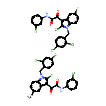 Cc1ccc2c(c1)c(C(=O)C(=O)Nc1cccc(Cl)c1)c(Cl)n2Cc1ccc(Cl)cc1Cl.O=C(Nc1cccc(Cl)c1)C(=O)c1c(Cl)n(Cc2ccc(Cl)cc2Cl)c2ccc(Cl)cc12